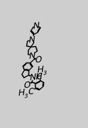 Cc1cccc(C)c1C(=O)NC1CCc2ccc(C(=O)N3CCC4(CC3)CCN(c3ccncc3)C4)cc21